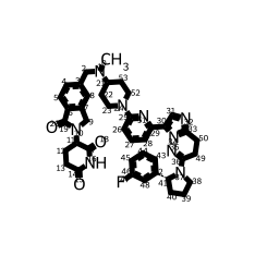 CN(Cc1ccc2c(c1)CN(C1CCC(=O)NC1=O)C2=O)C1CCN(c2cccc(-c3cnc4n3N=C(N3CCC[C@@H]3c3cccc(F)c3)CC4)n2)CC1